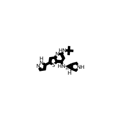 CC(C)(C)Nc1cc(N[C@@H]2C3CNC[C@H]32)c2sc(-c3ccn[nH]3)cc2n1